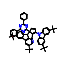 CC(C)(C)c1ccc2c(c1)-c1cc(C(C)(C)C)ccc1C2C1(c2nc(-c3ccccc3)nc(-c3ccccc3)n2)C=CC(n2c3ccc(C(C)(C)C)cc3c3cc(C(C)(C)C)ccc32)=C1C#N